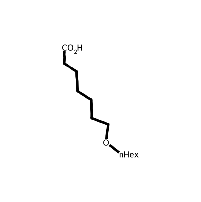 CCCCCCOCCCCCCC(=O)O